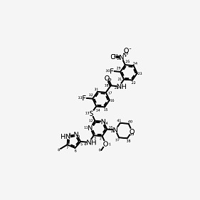 COc1c(Nc2cc(C)[nH]n2)nc(Sc2ccc(C(=O)Nc3cccc([N+](=O)[O-])c3F)cc2F)nc1N1CCOCC1